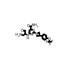 NCC(C=O)Nc1cc(C(N)=O)nc(N2CC(c3ccc(OC(F)(F)F)cc3)C2)n1